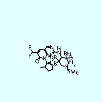 BC1(B)CN(SC)CC(B)(B)C1Nc1ncc2cc(C(F)F)c(=O)n(C3CCCC3C)c2n1